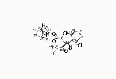 O=C(Cc1c(-c2c(Cl)cccc2Cl)noc1C1CC1)OC1CC2CC[C@H](C1)N2